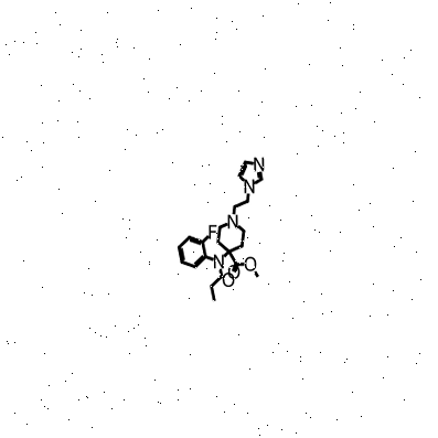 CCC(=O)N(c1ccccc1F)C1(C(=O)OC)CCN(CCn2ccnc2)CC1